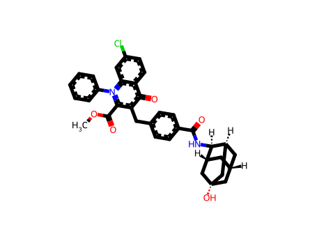 COC(=O)c1c(Cc2ccc(C(=O)N[C@@H]3[C@@H]4C[C@@H]5C[C@H]3C[C@@](O)(C5)C4)cc2)c(=O)c2ccc(Cl)cc2n1-c1ccccc1